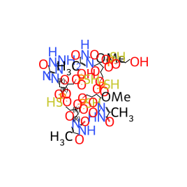 COC1C(OP(=O)(S)OCCCO)C(COP(=O)(S)OC2C(COP(=O)(S)O[C@@H]3C[C@H](n4cc(C)c(=O)[nH]c4=O)OC3COP(=O)(S)O[C@@H]3C[C@H](n4cnc5c(=O)[nH]c(N)nc54)OC3COP(=O)(O)S)OC(n3cc(C)c(=O)[nH]c3=O)C2OC)OC1n1cc(C)c(=O)[nH]c1=O